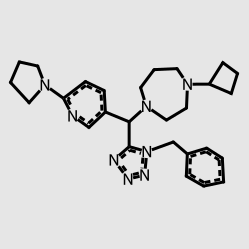 c1ccc(Cn2nnnc2C(c2ccc(N3CCCC3)nc2)N2CCCN(C3CCC3)CC2)cc1